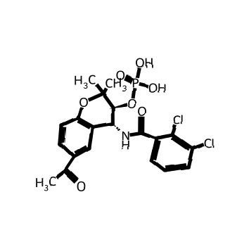 CC(=O)c1ccc2c(c1)[C@@H](NC(=O)c1cccc(Cl)c1Cl)[C@H](OP(=O)(O)O)C(C)(C)O2